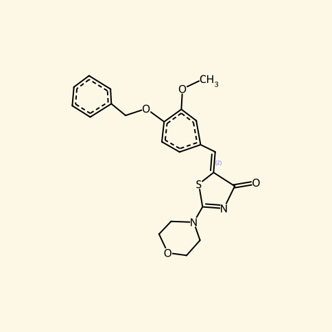 COc1cc(/C=C2\SC(N3CCOCC3)=NC2=O)ccc1OCc1ccccc1